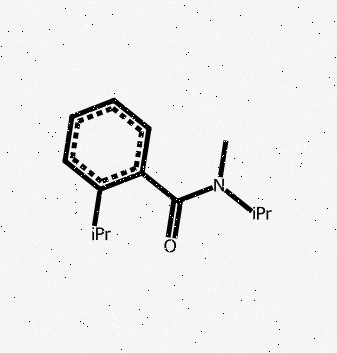 CC(C)c1ccccc1C(=O)N(C)C(C)C